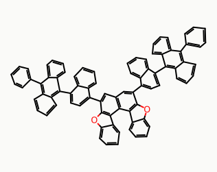 c1ccc(-c2c3ccccc3c(-c3ccc(-c4cc5cc(-c6ccc(-c7c8ccccc8c(-c8ccccc8)c8ccccc78)c7ccccc67)c6oc7ccccc7c6c5c5c4oc4ccccc45)c4ccccc34)c3ccccc23)cc1